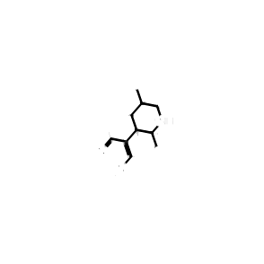 CC1CNC(C)C(/C(C=N)=C/N)C1